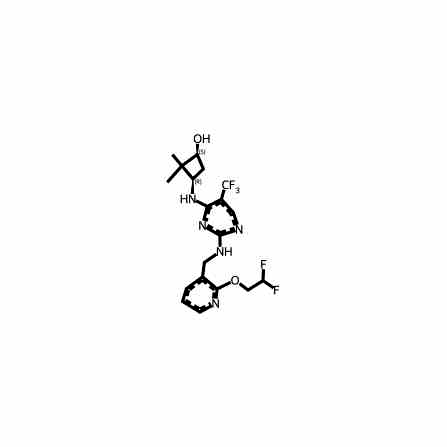 CC1(C)[C@@H](O)C[C@H]1Nc1nc(NCc2cccnc2OCC(F)F)ncc1C(F)(F)F